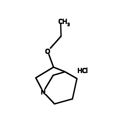 CCOC1CN2CCCC1C2.Cl